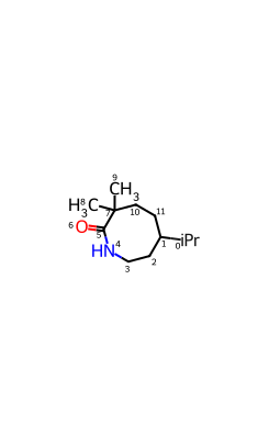 CC(C)C1CCNC(=O)C(C)(C)CC1